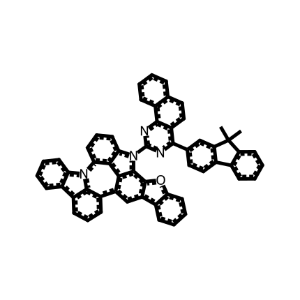 CC1(C)c2ccccc2-c2ccc(-c3nc(-n4c5cccc6c5c5c(cc7c8ccccc8oc7c54)c4cccc5c7ccccc7n6c45)nc4c3ccc3ccccc34)cc21